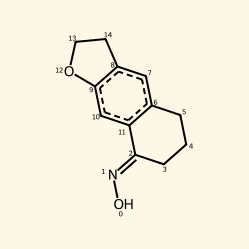 ON=C1CCCc2cc3c(cc21)OCC3